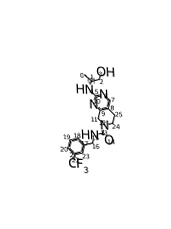 C[C@@H](CO)Nc1ncc2c(n1)CN(C(=O)NCc1cccc(C(F)(F)F)c1)CC2